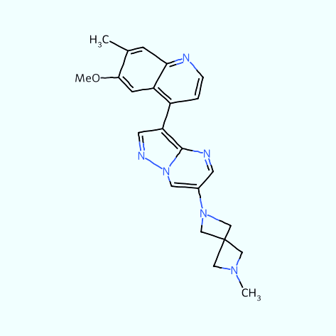 COc1cc2c(-c3cnn4cc(N5CC6(CN(C)C6)C5)cnc34)ccnc2cc1C